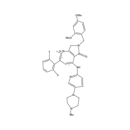 C/C=C(/C=C(/Nc1ccc(N2CCN(C(C)(C)C)CC2)cn1)C1=C(N)CN(Cc2ccc(OC)cc2OC)C1=O)c1c(F)cccc1F